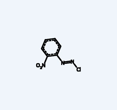 O=[N+]([O-])c1ccccc1/N=N/Cl